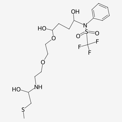 CSCC(O)NCCOCCOC(O)CCC(O)N(c1ccccc1)S(=O)(=O)C(F)(F)F